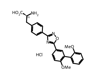 COc1ccccc1-c1cc(-c2nc(-c3ccc(C[C@H](N)C(=O)O)cc3)no2)ccc1OC.Cl